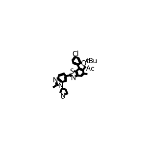 CC(=O)[C@@H](OC(C)(C)C)c1c(C)cc2nc(-c3ccc4nc(C)n(C5CCN(C)C5)c4c3)sc2c1-c1ccc(Cl)cc1